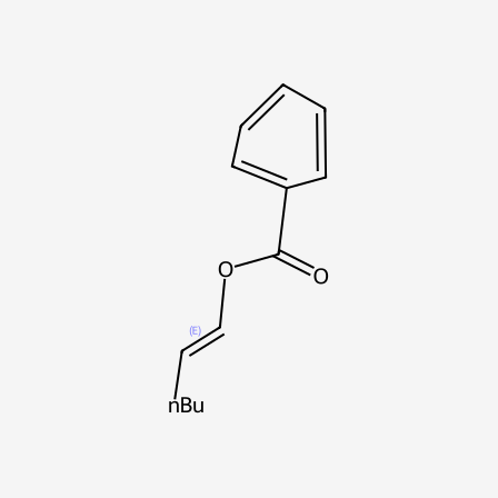 CCCC/C=C/OC(=O)c1ccccc1